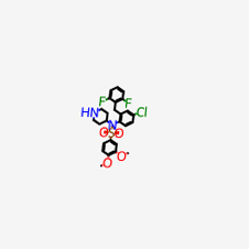 COc1ccc(S(=O)(=O)N(c2ccc(Cl)cc2Cc2c(F)cccc2F)C2CCNCC2)cc1OC